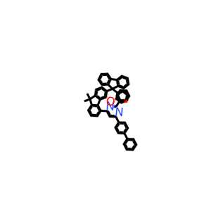 CC1(C)c2cccc(-c3cc(-c4ccc(-c5ccccc5)cc4)nc(-c4ccccc4)n3)c2-c2c1ccc1c2Oc2ccccc2C12c1ccccc1-c1ccccc12